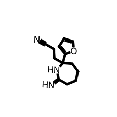 N#CCCC1(c2ccco2)CCCCC(=N)N1